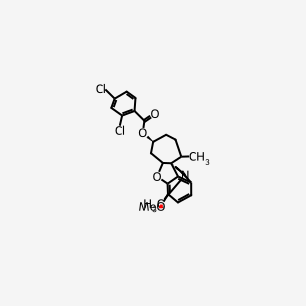 COc1ccc2c3c1OC1C[C@@H](OC(=O)c4ccc(Cl)cc4Cl)CCC(C)[C@@]31CCN(C)C2